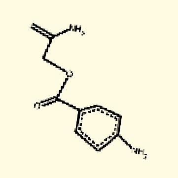 C=C(N)COC(=O)c1ccc(N)cc1